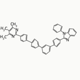 Cc1nc(-c2ccc(-c3ccc(-c4cccc(-c5ccc(-c6nc7ccccc7n6-c6ccccc6)cc5)c4)cc3)cc2)nc(C)c1C